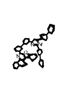 C1=CC(c2ccccc2)CC=C1c1nc(-c2ccc(-c3ccccc3)cc2)cc(-c2cccc(-c3cccc(-c4nc5c6ccccc6ccc5c5c4oc4ccccc45)c3)c2)n1